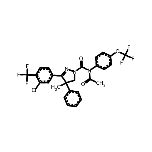 CC(=O)N(C(=O)N1CC(C)(c2ccccc2)C(c2ccc(C(F)(F)F)c(Cl)c2)=N1)c1ccc(OC(F)(F)F)cc1